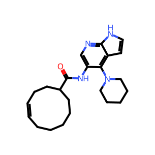 O=C(Nc1cnc2[nH]ccc2c1N1CCCCC1)C1CC/C=C\CCCCC1